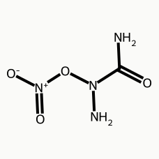 NC(=O)N(N)O[N+](=O)[O-]